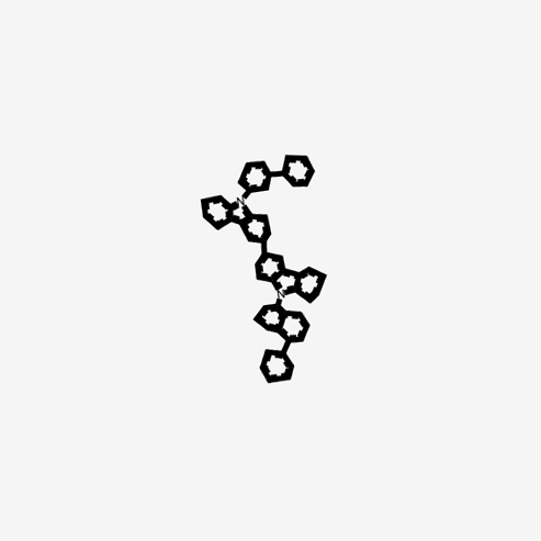 c1ccc(-c2cccc(-n3c4ccccc4c4cc(-c5ccc6c(c5)c5ccccc5n6-c5cccc6c(-c7ccccc7)cccc56)ccc43)c2)cc1